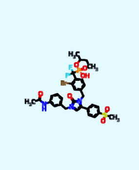 CCC(C)OP(=O)(O)C(F)(F)c1ccc(Cn2c(-c3ccc(S(C)(=O)=O)cc3)cn(Cc3cccc(NC(C)=O)c3)c2=O)cc1Br